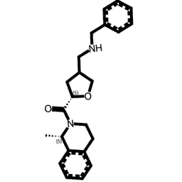 C[C@H]1c2ccccc2CCN1C(=O)[C@@H]1CC(CNCc2ccccc2)CO1